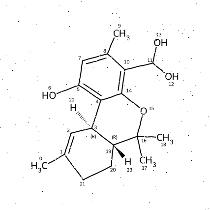 CC1=C[C@H]2c3c(O)cc(C)c(C(O)O)c3OC(C)(C)[C@@H]2CC1